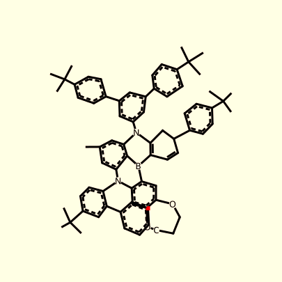 Cc1cc2c3c(c1)N(c1ccc(C(C)(C)C)cc1-c1ccccc1)c1cc4c(cc1B3C1=C(CC(c3ccc(C(C)(C)C)cc3)C=C1)N2c1cc(-c2ccc(C(C)(C)C)cc2)cc(-c2ccc(C(C)(C)C)cc2)c1)OCCCO4